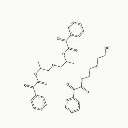 CC(COCC(C)OC(=O)C(=O)c1ccccc1)OC(=O)C(=O)c1ccccc1.O=C(OCCOCCO)C(=O)c1ccccc1